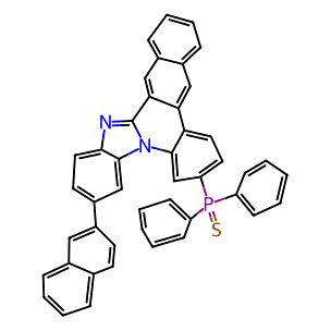 S=P(c1ccccc1)(c1ccccc1)c1ccc2c3cc4ccccc4cc3c3nc4ccc(-c5ccc6ccccc6c5)cc4n3c2c1